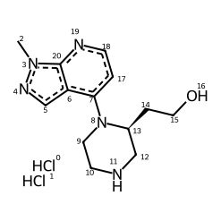 Cl.Cl.Cn1ncc2c(N3CCNC[C@@H]3CCO)ccnc21